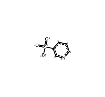 O=S(=O)(Br)c1cccnc1